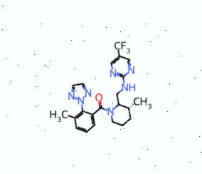 Cc1cccc(C(=O)N2CCC[C@@H](C)C2CNc2ncc(C(F)(F)F)cn2)c1-n1nccn1